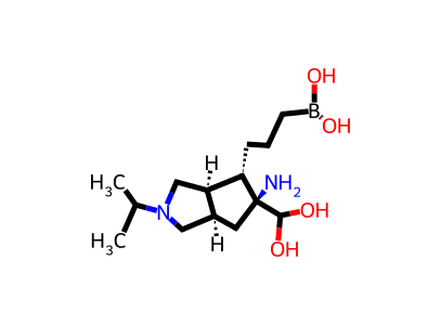 CC(C)N1C[C@@H]2C[C@@](N)(C(O)O)[C@@H](CCCB(O)O)[C@@H]2C1